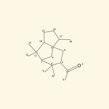 CC(=O)C1CC23CC(C1(C)C)C(C)(C)C2CCC3C